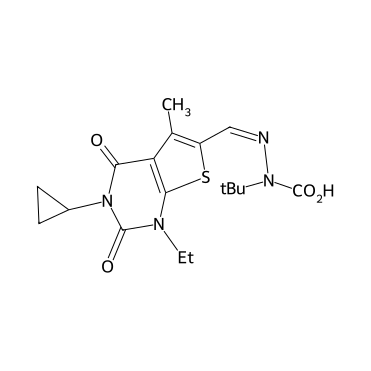 CCn1c(=O)n(C2CC2)c(=O)c2c(C)c(/C=N\N(C(=O)O)C(C)(C)C)sc21